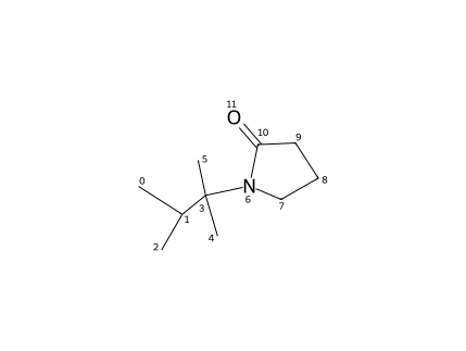 CC(C)C(C)(C)N1CCCC1=O